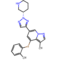 N#Cc1ccccc1Sc1cc(-c2cnn([C@H]3CCCNC3)n2)cn2ncc(C#N)c12